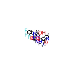 Cc1cnc2c(OC(F)(F)F)cc(C(=O)NCC(O)(c3cc4c(c(-c5ccc(F)c(F)c5F)n3)OC[C@]4(C)C(N)=O)C(F)(F)F)cc2c1